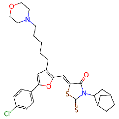 O=C1/C(=C/c2oc(-c3ccc(Cl)cc3)cc2CCCCCN2CCOCC2)SC(=S)N1C1CC2CCC1C2